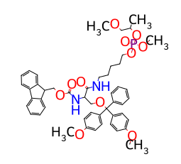 COCC(C)OP(=O)(OC)OCCCCCNC(=O)C(COC(c1ccccc1)(c1ccc(OC)cc1)c1ccc(OC)cc1)NC(=O)OCC1c2ccccc2-c2ccccc21